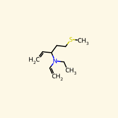 C=CC(CCSC)N(C=C)CC